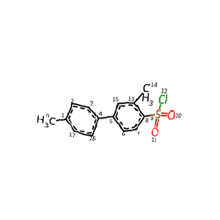 Cc1ccc(-c2ccc(S(=O)(=O)Cl)c(C)c2)cc1